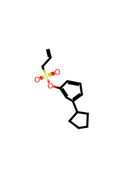 C=CCS(=O)(=O)Oc1cccc(C2CCCC2)c1